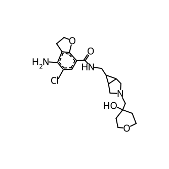 Nc1c(Cl)cc(C(=O)NCC2C3CN(CC4(O)CCOCC4)CC23)c2c1CCO2